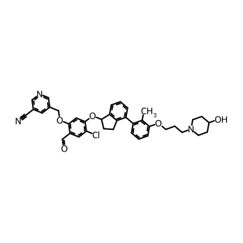 Cc1c(OCCCN2CCC(O)CC2)cccc1-c1cccc2c1CCC2Oc1cc(OCc2cncc(C#N)c2)c(C=O)cc1Cl